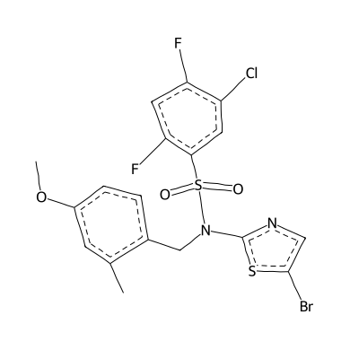 COc1ccc(CN(c2ncc(Br)s2)S(=O)(=O)c2cc(Cl)c(F)cc2F)c(C)c1